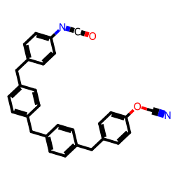 N#COc1ccc(Cc2ccc(Cc3ccc(Cc4ccc(N=C=O)cc4)cc3)cc2)cc1